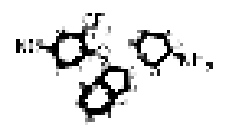 N#Cc1ccc(O[C@@H]2c3ccccc3C[C@H]2N2CCC[C@@H](N)C2)c(C(F)(F)F)c1